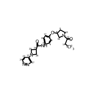 O=C(Nc1ccc(OC2CCN(C(=O)CC(F)(F)F)C2)cc1)C1CN(c2ccnnc2)C1